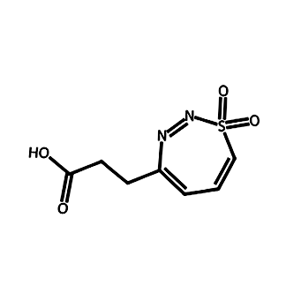 O=C(O)CCC1=CC=CS(=O)(=O)N=N1